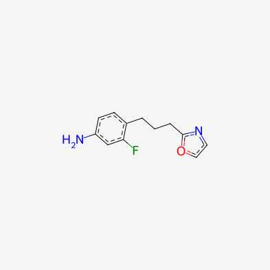 Nc1ccc(CCCc2ncco2)c(F)c1